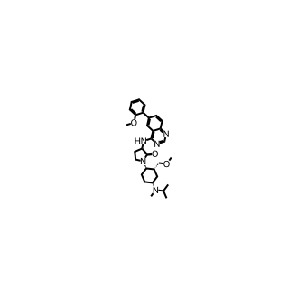 COC[C@@H]1C[C@H](N(C)C(C)C)CC[C@@H]1N1CCC(Nc2ncnc3ccc(-c4ccccc4OC)cc23)C1=O